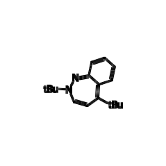 CC(C)(C)C1=c2ccccc2=NN(C(C)(C)C)C=C1